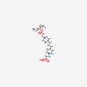 CC(C)OC(=O)CCN1CCC(CCCC2CCN(CCC(=O)O)CC2)CC1